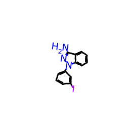 Nc1nn(-c2cccc(I)c2)c2ccccc12